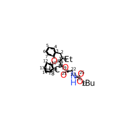 CC[C@H](Cc1ccccc1)[C@@H](Oc1ccccc1)[C@H](C)OC(=O)CNC(=O)OC(C)(C)C